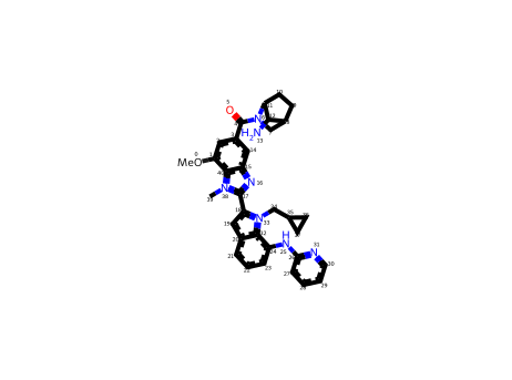 COc1cc(C(=O)N2CC3CCC2C3N)cc2nc(-c3cc4cccc(Nc5ccccn5)c4n3CC3CC3)n(C)c12